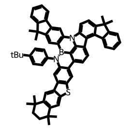 CC(C)(C)c1ccc(N2B3c4cc5c(cc4-n4c6ccc7c(c6c6ccc(c3c64)-c3cc4sc6cc8c(cc6c4cc32)C(C)(C)CCC8(C)C)-c2ccccc2C7(C)C)-c2ccccc2C5(C)C)cc1